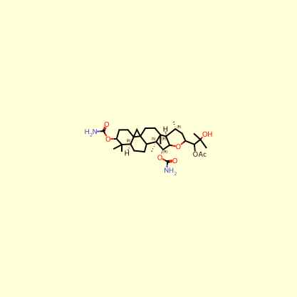 CC(=O)OC(C1C[C@@H](C)[C@H]2C(O1)[C@H](OC(N)=O)[C@@]1(C)C3CC[C@H]4C(C)(C)C(OC(N)=O)CCC45CC35CCC21C)C(C)(C)O